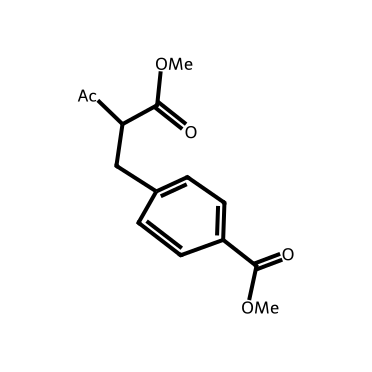 COC(=O)c1ccc(CC(C(C)=O)C(=O)OC)cc1